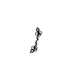 Cc1ccc(S(=O)(=O)OCCSCCCSCCOS(=O)(=O)c2ccc(C)cc2)cc1